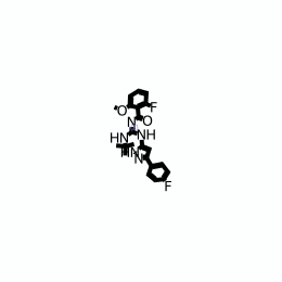 COc1cccc(F)c1C(=O)/N=C(\Nc1cc(-c2ccc(F)cc2)n[nH]1)NC(C)(C)C